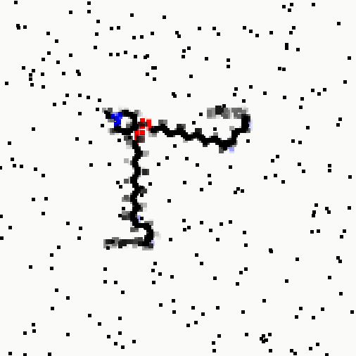 CCCCC/C=C\C/C=C\CCCCCCCCOC1(OCCCCCCCC/C=C\C/C=C\CCCCC)CCN(C)CC1